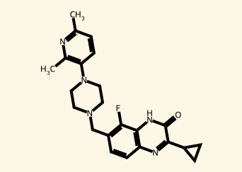 Cc1ccc(N2CCN(Cc3ccc4nc(C5CC5)c(=O)[nH]c4c3F)CC2)c(C)n1